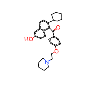 O=C(c1ccc(OCCN2CCCCC2)cc1)c1c(C2CCCCC2)ccc2cc(O)ccc12